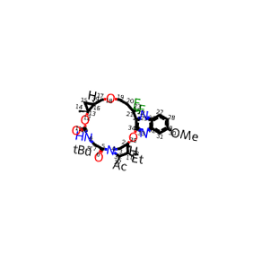 CC[C@@H]1[C@@H]2CN(C(=O)[C@H](C(C)(C)C)NC(=O)O[C@]3(C)C[C@H]3COCCC(F)(F)c3nc4ccc(OC)cc4nc3O2)[C@@H]1C(C)=O